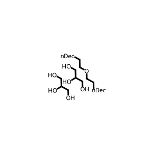 CCCCCCCCCCCCOCCCCCCCCCCCC.OCC(O)CO.OCC(O)CO